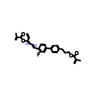 C=C/C(=C\C=C\c1ccc(-c2ccc(CCCOC(=O)C(=C)C)cc2)cc1F)OC(=O)C(=C)C